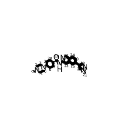 CN1CCN([C@H]2CC[C@H](C(=O)Nc3cc4cc(-c5cnn(C)c5)ccc4cn3)CC2)CC1